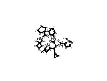 Cc1cc(C(C2CC2)[C@H](NC(=O)c2ccnn2C)C(=O)Nc2cccc(C3(C(=O)NCC4(C)CCC4)CCCC3)c2)on1